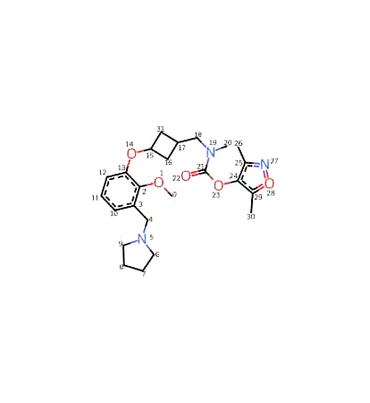 COc1c(CN2CCCC2)cccc1OC1CC(CN(C)C(=O)Oc2c(C)noc2C)C1